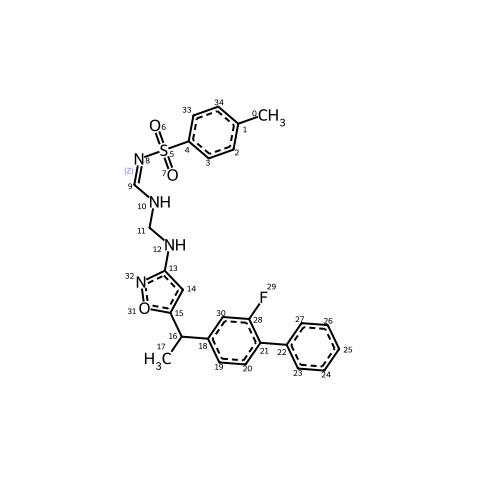 Cc1ccc(S(=O)(=O)/N=C\NCNc2cc(C(C)c3ccc(-c4ccccc4)c(F)c3)on2)cc1